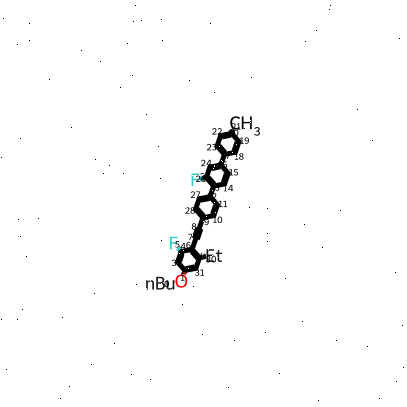 CCCCOc1cc(F)c(C#Cc2ccc(-c3ccc(-c4ccc(C)cc4)cc3F)cc2)c(CC)c1